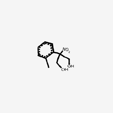 Cc1ccccc1C(CO)(CO)[N+](=O)[O-]